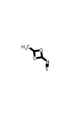 CC1OC(N=S)O1